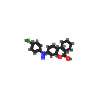 O=c1oc2cc(Nc3ccc(F)cc3)ccc2c2c1CCCC2